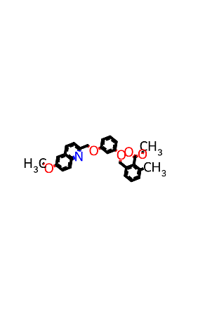 COC(=O)c1c(C)cccc1COc1cccc(OCc2ccc3cc(OC)ccc3n2)c1